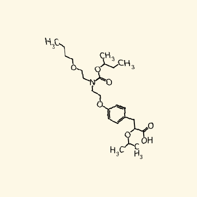 CCCCOCCN(CCOc1ccc(CC(OC(C)C)C(=O)O)cc1)C(=O)OC(C)CC